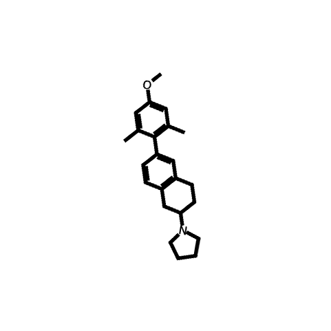 COc1cc(C)c(-c2ccc3c(c2)CCC(N2CCCC2)C3)c(C)c1